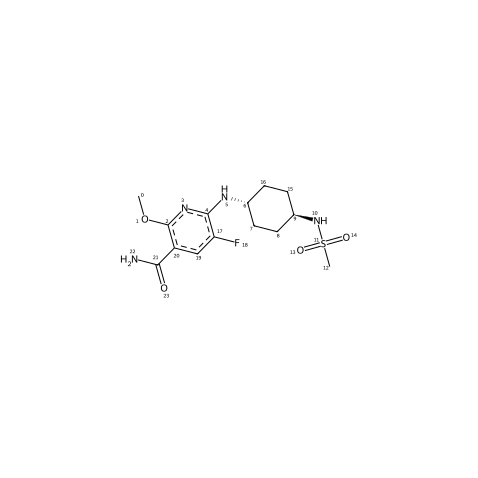 COc1nc(N[C@H]2CC[C@H](NS(C)(=O)=O)CC2)c(F)cc1C(N)=O